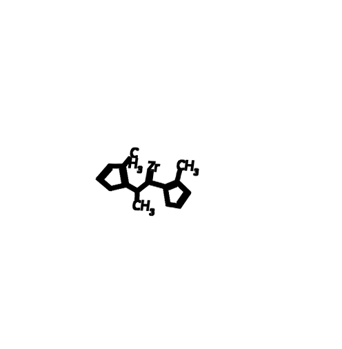 CC1=C([C](=[Zr])C(C)C2=C(C)C=CC2)CC=C1